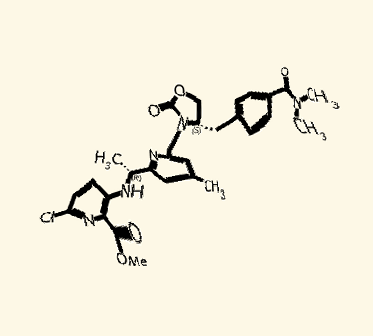 COC(=O)c1nc(Cl)ccc1N[C@H](C)c1cc(C)cc(N2C(=O)OC[C@@H]2Cc2ccc(C(=O)N(C)C)cc2)n1